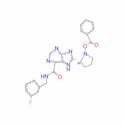 O=C(ON1CCC[C@@H]1c1nc2ncnc(C(=O)NCc3cccc(F)c3)c2[nH]1)c1ccccc1